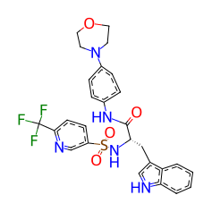 O=C(Nc1ccc(N2CCOCC2)cc1)[C@H](Cc1c[nH]c2ccccc12)NS(=O)(=O)c1ccc(C(F)(F)F)nc1